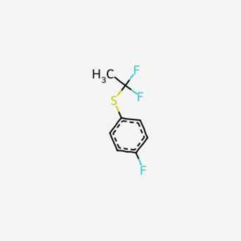 CC(F)(F)Sc1ccc(F)cc1